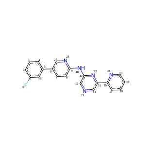 Fc1cccc(-c2ccc(Nc3cncc(-c4ccccn4)n3)nc2)c1